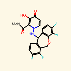 CNC(=O)c1c(O)c(=O)ccn1NC1c2ccc(F)c(F)c2COc2c1ccc(F)c2F